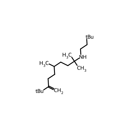 C=C(CCC(C)CCC(C)(C)NCCC(C)(C)C)C(C)(C)C